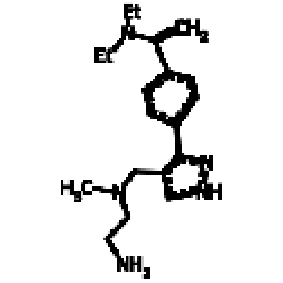 C=C(c1ccc(-c2n[nH]cc2CN(C)CCN)cc1)N(CC)CC